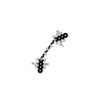 Nc1c2c(=O)c3ccccc3c(=O)c2c(O)c2c(=O)n(CCCOCCOCCOCCCn3c(=O)c4c(N)c5c(=O)c6ccccc6c(=O)c5c(O)c4c3=O)c(=O)c12